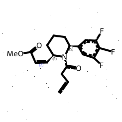 C=CCC(=O)N1[C@@H](/C=C\C(=O)OC)CCC[C@H]1c1cc(F)c(F)c(F)c1